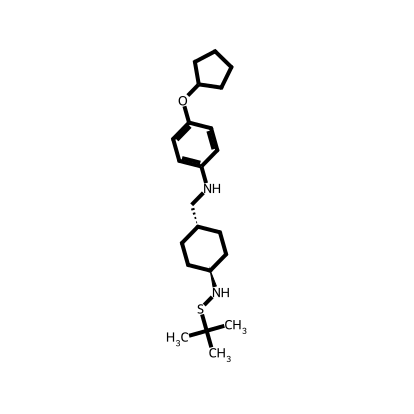 CC(C)(C)SN[C@H]1CC[C@H](CNc2ccc(OC3CCCC3)cc2)CC1